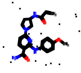 C=CC(=O)NC1CCN(c2ccc(C(N)=O)c(Nc3ccc(OC)cc3)n2)C1